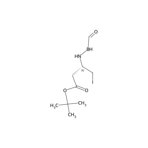 CC(C)(C)OC(=O)C[C@@H](CI)NBC=O